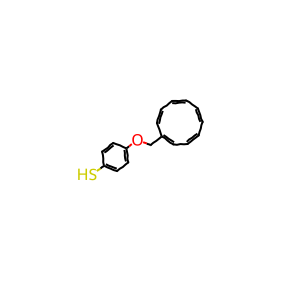 Sc1ccc(OCc2ccccccccc2)cc1